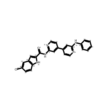 O=C(Nc1cc(-c2ccnc(Nc3ccccc3)c2)ccn1)c1cc2cc(Cl)ccc2[nH]1